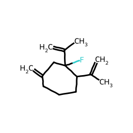 C=C1CCCC(C(=C)C)C(F)(C(=C)C)C1